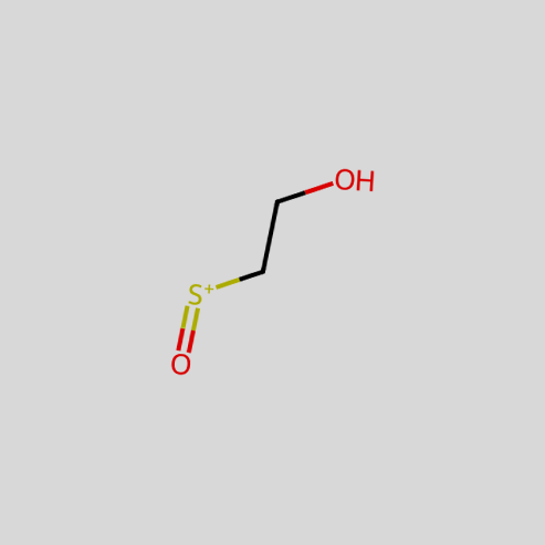 O=[S+]CCO